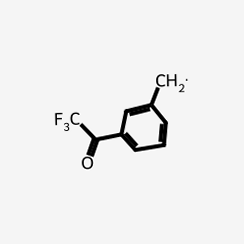 [CH2]c1cccc(C(=O)C(F)(F)F)c1